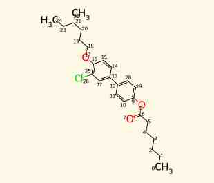 CCCCCCC(=O)Oc1ccc(-c2ccc(OCCC[C@@H](C)CC)c(Cl)c2)cc1